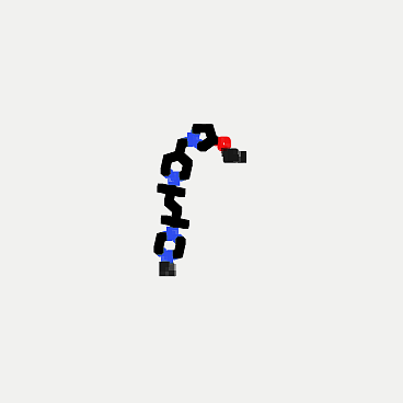 CCN1CCN(C(C)(C)CCC(C)(C)N2CCC(CN3CCC(OC(C)(C)C)C3)CC2)CC1